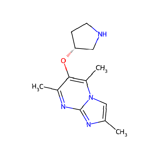 Cc1cn2c(C)c(O[C@@H]3CCNC3)c(C)nc2n1